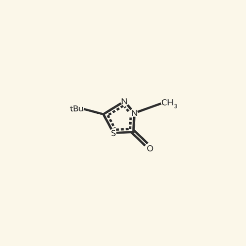 Cn1nc(C(C)(C)C)sc1=O